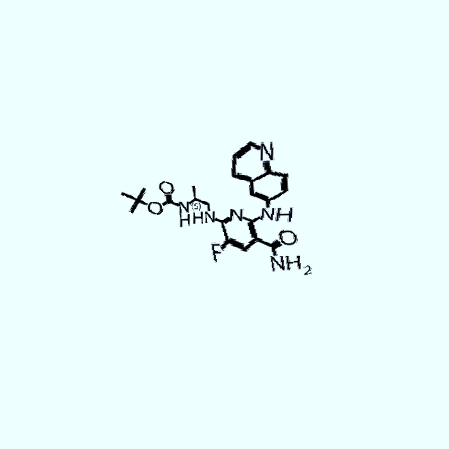 C[C@@H](CNc1nc(Nc2ccc3ncccc3c2)c(C(N)=O)cc1F)NC(=O)OC(C)(C)C